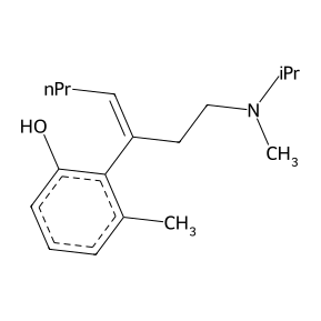 CCC/C=C(/CCN(C)C(C)C)c1c(C)cccc1O